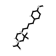 COC1CCC(CCCCN2CCN(C(C)C)CC2(C)C)CC1